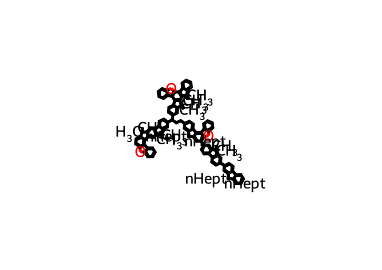 CCCCCCCC1(CCCCCCC)c2ccccc2-c2ccc(-c3ccc4c(c3)C(C)(C)c3cc(-c5cc6c(c7c5oc5ccccc57)-c5ccc(CCC(c7ccc8c(c7)C(C)(C)c7cc9c(cc7-8)C(C)(C)c7ccc8oc%10ccccc%10c8c7-9)c7ccc8c(c7)C(C)(C)c7c9c(c%10oc%11ccccc%11c%10c7-8)-c7ccccc7C9(C)C)cc5C6(CCCCCCC)CCCCCCC)ccc3-4)cc21